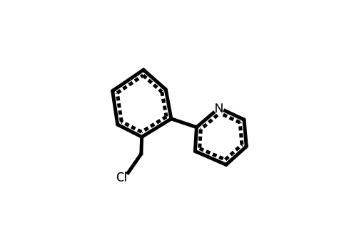 ClCc1ccccc1-c1ccccn1